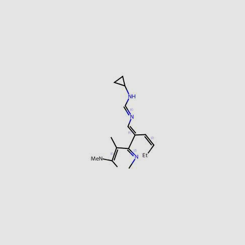 CC\C=C/C(=C\N=C\NC1CC1)C(=N/C)/C(C)=C(\C)NC